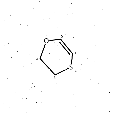 C1=CSCCO1